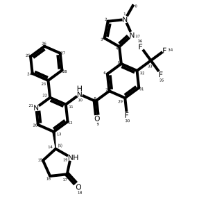 Cn1ccc(-c2cc(C(=O)Nc3cc([C@@H]4CCC(=O)N4)cnc3-c3ccccc3)c(F)cc2C(F)(F)F)n1